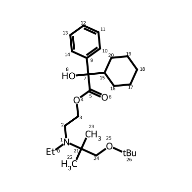 CCN(CCOC(=O)C(O)(c1ccccc1)C1CCCCC1)C(C)(C)COC(C)(C)C